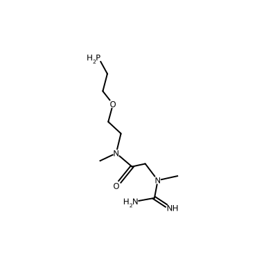 CN(CC(=O)N(C)CCOCCP)C(=N)N